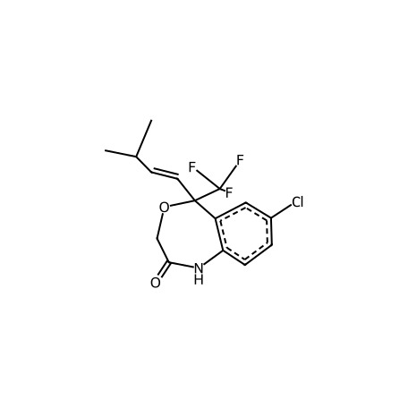 CC(C)C=CC1(C(F)(F)F)OCC(=O)Nc2ccc(Cl)cc21